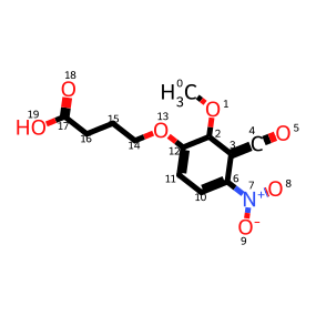 COC1C(=C=O)C([N+](=O)[O-])=CC=C1OCCCC(=O)O